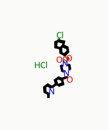 Cc1cccc(-c2ccc(C(=O)N3CCN(S(=O)(=O)c4ccc5cc(Cl)ccc5c4)CC3)cc2)n1.Cl